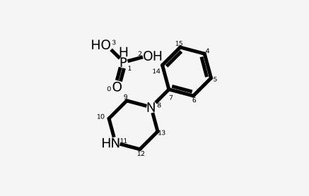 O=[PH](O)O.c1ccc(N2CCNCC2)cc1